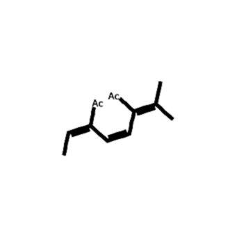 C/C=C(\C=C/C(C(C)=O)=C(C)C)C(C)=O